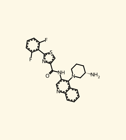 N[C@H]1CCCN(c2c(NC(=O)c3csc(-c4c(F)cccc4F)n3)cnc3ccccc23)C1